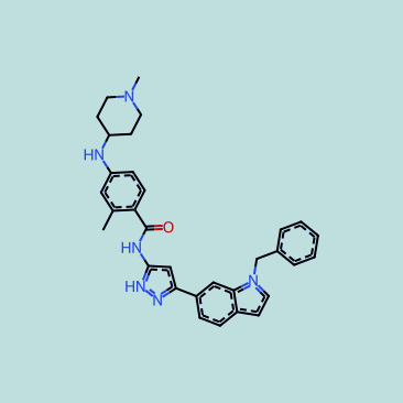 Cc1cc(NC2CCN(C)CC2)ccc1C(=O)Nc1cc(-c2ccc3ccn(Cc4ccccc4)c3c2)n[nH]1